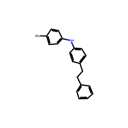 CC(C)(C)c1ccc(Nc2ccc(CCc3ccccc3)cc2)cc1